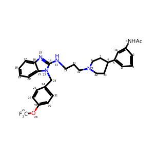 CC(=O)Nc1cccc(C2CCN(CCCNc3nc4ccccc4n3Cc3ccc(OC(F)(F)F)cc3)CC2)c1